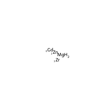 [Gd].[MgH2].[Zn].[Zr]